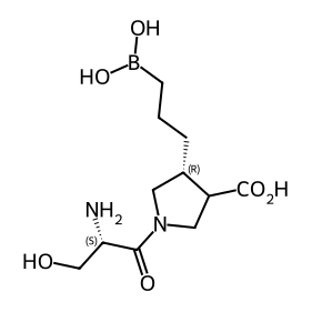 N[C@@H](CO)C(=O)N1CC(C(=O)O)[C@@H](CCCB(O)O)C1